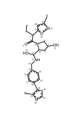 CCC(C(=O)N1CC(O)CC1C(O)NCc1ccc(-c2scnc2C)cc1)c1cc(C)no1